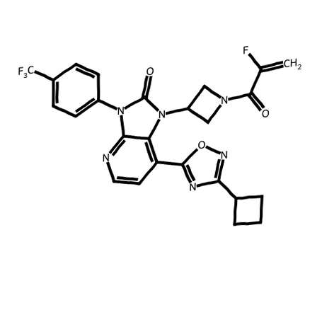 C=C(F)C(=O)N1CC(n2c(=O)n(-c3ccc(C(F)(F)F)cc3)c3nccc(-c4nc(C5CCC5)no4)c32)C1